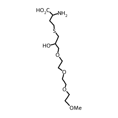 COCCOCCOCCOCC(O)CSCCC(N)C(=O)O